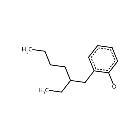 CCCCC(CC)Cc1ccccc1[O]